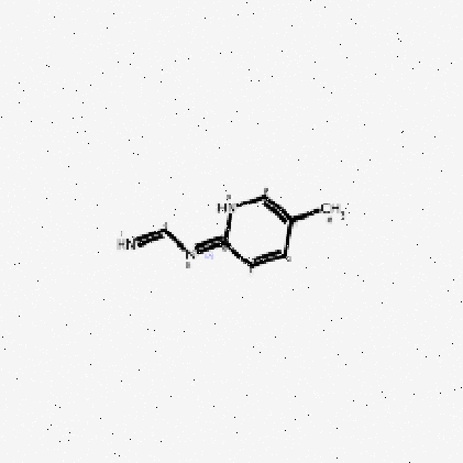 Cc1cc/c(=N/C=N)[nH]c1